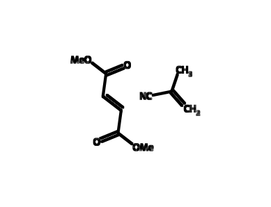 C=C(C)C#N.COC(=O)C=CC(=O)OC